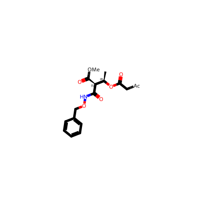 COC(=O)[C@H](C(=O)NOCc1ccccc1)[C@@H](C)OC(=O)CC(C)=O